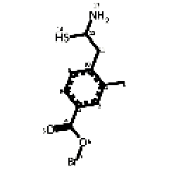 Cc1cc(C(=O)OBr)ccc1CC(N)S